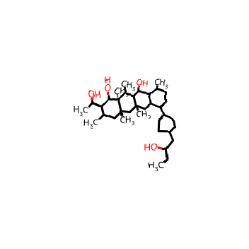 CCC(O)CC1CCC(C2CCC(C)C3C(O)C4C(C)[C@]5(C)C(O)C(C(C)O)C(C)CC5(C)CC4(C)CC23)CC1